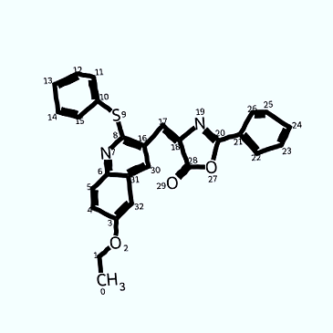 CCOc1ccc2nc(Sc3ccccc3)c(C=C3N=C(c4ccccc4)OC3=O)cc2c1